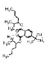 CCCCC(OC(=O)c1ccc(C(C)(C)C)cc1C(=O)OC(CCCC)C(C)C)C(C)C